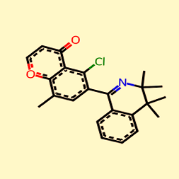 Cc1cc(C2=NC(C)(C)C(C)(C)c3ccccc32)c(Cl)c2c(=O)ccoc12